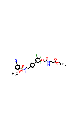 CCOC(=O)CCNC(=O)COC1(F)CC(c2ccc(CCNS(=O)(=O)c3cc(C#N)ccc3OC)cc2)=CC(F)=C1F